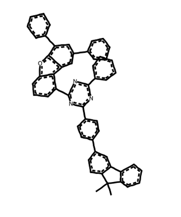 CC1(C)c2ccccc2-c2cc(-c3ccc(-c4nc(-c5ccccc5)nc(-c5cccc6oc7c(-c8ccccc8)cc(-c8ccccc8)cc7c56)n4)cc3)ccc21